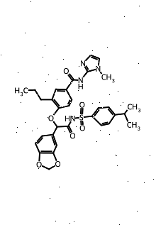 CCCc1cc(C(=O)Nc2nccn2C)ccc1OC(C(=O)NS(=O)(=O)c1ccc(C(C)C)cc1)c1ccc2c(c1)OCO2